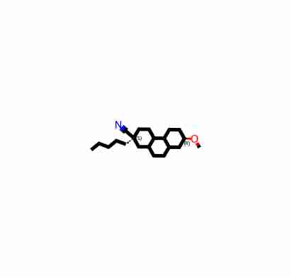 CCCCC[C@]1(C#N)CCC2C(CCC3C[C@H](OC)CCC32)C1